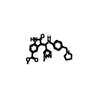 COC(=O)c1ccc2c(c1)/C(=C(/Nc1ccc(CN3CCCC3)cc1)c1cnn(C)c1)C(=O)N2